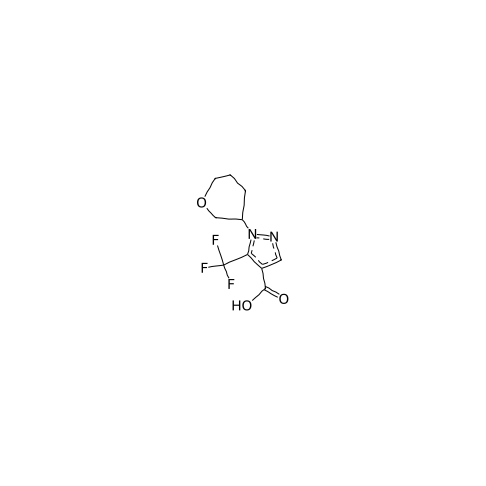 O=C(O)c1cnn(C2CCCOC2)c1C(F)(F)F